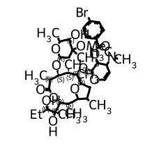 CC[C@@H](O)[C@@](C)(O)[C@@H]1OC(=O)[C@H](C)[C@@H](O[C@H]2CC(C)(OC)[C@@H](O)C(C)O2)[C@H](C)[C@@H](O[C@@H]2OC=CC(N(C)C)C2OC(=O)c2ccc(Br)cc2)[C@@]2(C)CC(C)C(O2)[C@@H]1C